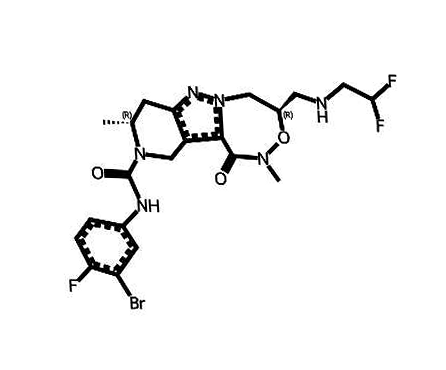 C[C@@H]1Cc2nn3c(c2CN1C(=O)Nc1ccc(F)c(Br)c1)C(=O)N(C)O[C@H](CNCC(F)F)C3